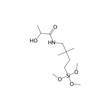 CO[Si](CCC(C)(C)CNC(=O)C(C)O)(OC)OC